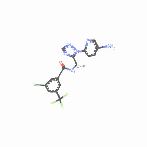 C[C@H](NC(=O)c1cc(Cl)cc(C(F)(F)F)c1)c1ncnn1-c1ccc(N)cn1